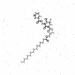 CCCCCCCCCCCCCCCC(=O)OC[C@@H]1CC[C@H](n2cc(C)c(=O)n(COC(=O)c3cccnc3)c2=O)O1